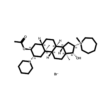 CC(=O)O[C@H]1C[C@@H]2CC[C@@H]3[C@H](CC[C@]4(C)[C@@H](O)[C@@H]([N+]5(C)CCCCCC5)C[C@@H]34)[C@@]2(C)C[C@@H]1N1CCCCC1.[Br-]